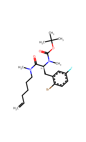 C=CCCCCN(C)C(=O)[C@H](Cc1cc(F)ccc1Br)N(C)C(=O)OC(C)(C)C